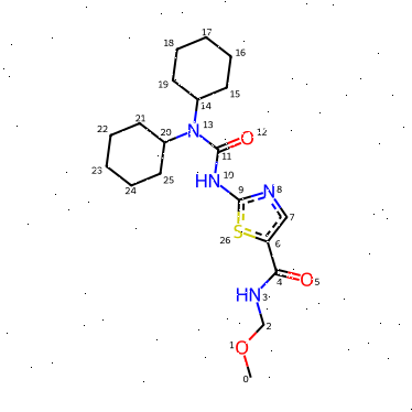 COCNC(=O)c1cnc(NC(=O)N(C2CCCCC2)C2CCCCC2)s1